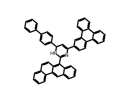 C1=C(c2ccc3c4ccccc4c4ccccc4c3c2)N=C(c2c3ccccc3cc3c2ccc2ccccc23)NC1c1ccc(-c2ccccc2)cc1